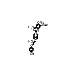 COc1cc2nc(N3CC4CC(CN(CC(O)COc5ccc(C#N)cc5)C4)C3)nc(N)c2cc1OC